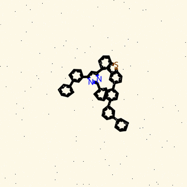 c1ccc(-c2cccc(-c3ccc(-c4ccc5sc6cccc(-c7cc(-c8cccc(-c9ccccc9)c8)nc(-c8ccccc8)n7)c6c5c4)cc3)c2)cc1